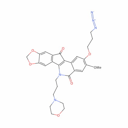 COc1cc2c(=O)n(CCCN3CCOCC3)c3c(c2cc1OCCCN=[N+]=[N-])C(=O)c1cc2c(cc1-3)OCO2